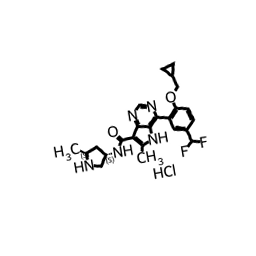 Cc1[nH]c2c(-c3cc(C(F)F)ccc3OCC3CC3)ncnc2c1C(=O)N[C@@H]1CN[C@@H](C)C1.Cl